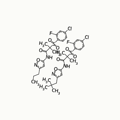 CC(C)(C)Cc1cc(NC(=O)C(C)(C)S(=O)(=O)c2ccc(Cl)cc2F)on1.CCCc1cc(NC(=O)C(C)(C)S(=O)(=O)c2ccc(Cl)cc2F)on1